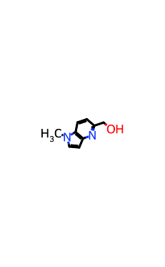 Cn1ccc2nc(CO)ccc21